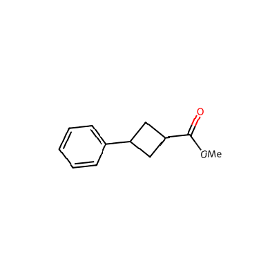 COC(=O)C1CC(c2ccccc2)C1